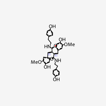 COc1cc(/C=C(C(=O)NCCc2ccc(O)cc2)\C(=C/c2ccc(O)c(OC)c2)C(=O)NCCc2ccc(O)cc2)ccc1O